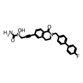 NC(=O)N(O)CC#Cc1ccc2c(c1)CCN(Cc1ccc(-c3ccc(F)cc3)cc1)C2=O